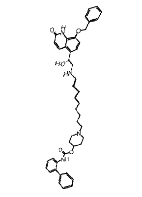 O=C(Nc1ccccc1-c1ccccc1)OC1CCN(CCCCCCCCCNC[C@H](O)c2ccc(OCc3ccccc3)c3[nH]c(=O)ccc23)CC1